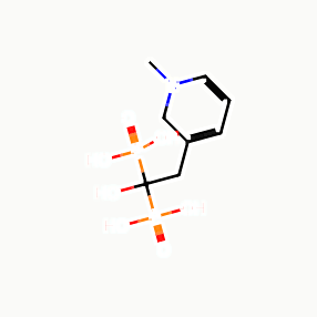 CN1C=CC=C(CC(O)(P(=O)(O)O)P(=O)(O)O)C1